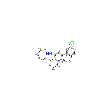 Clc1ccc2c(c1)-c1ccc3c(c1=CC2)=CCCC3C1=CC=CC=CN1